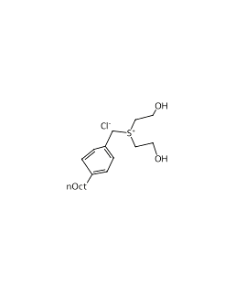 CCCCCCCCc1ccc(C[S+](CCO)CCO)cc1.[Cl-]